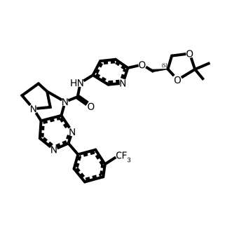 CC1(C)OC[C@H](COc2ccc(NC(=O)N3c4nc(-c5cccc(C(F)(F)F)c5)ncc4N4CCC3C4)cn2)O1